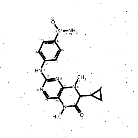 CN1C(=O)C(C2CC2)N(C)c2nc(Nc3ccc([S+](N)[O-])cc3)ncc21